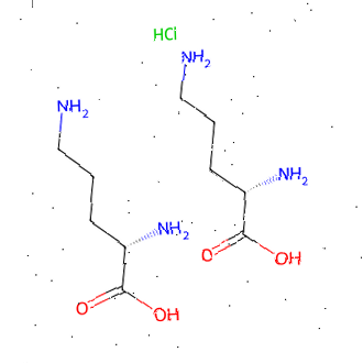 Cl.NCCC[C@H](N)C(=O)O.NCCC[C@H](N)C(=O)O